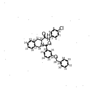 O=C(Nc1ccc(Cl)cc1)C1Cc2ccccc2CN1C(=O)c1cccc(OCc2ccccc2)c1